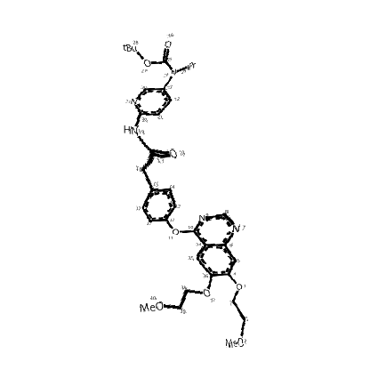 COCCOc1cc2ncnc(Oc3ccc(CC(=O)Nc4ccc(N(C(=O)OC(C)(C)C)C(C)C)cn4)cc3)c2cc1OCCOC